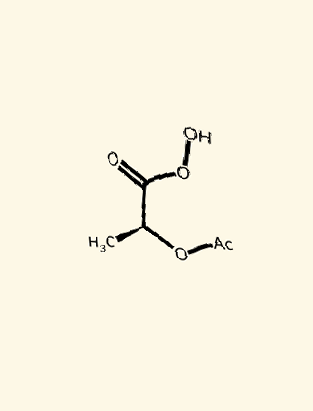 CC(=O)O[C@@H](C)C(=O)OO